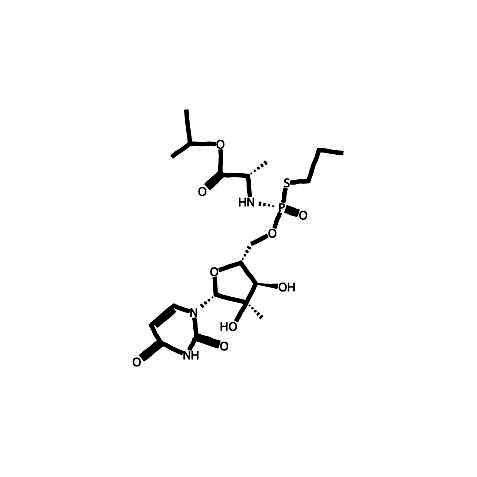 CCCS[P@](=O)(N[C@@H](C)C(=O)OC(C)C)OC[C@H]1O[C@@H](n2ccc(=O)[nH]c2=O)[C@](C)(O)[C@@H]1O